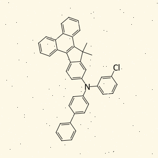 CC1(C)c2cc(N(c3ccc(-c4ccccc4)cc3)c3cccc(Cl)c3)ccc2-c2c1c1ccccc1c1ccccc21